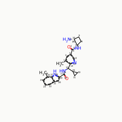 Cc1cc(C(=O)N[C@H]2CC[C@H]2N)cnc1C(NC(=O)c1cc2cccc(C)c2[nH]1)C1CC1